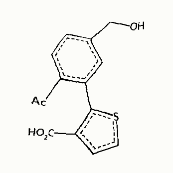 CC(=O)c1ccc(CO)cc1-c1sccc1C(=O)O